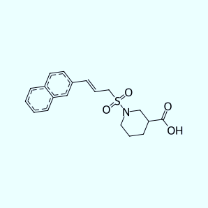 O=C(O)C1CCCN(S(=O)(=O)CC=Cc2ccc3ccccc3c2)C1